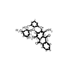 Cc1cccc(Oc2c(N)c3c(c(N)c2Oc2cccc(C)c2)C(=O)c2ccccc2C3=O)c1